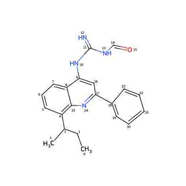 CCC(C)c1cccc2c(NC(=N)NC=O)cc(-c3ccccc3)nc12